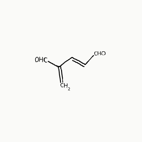 C=C(C=O)C=CC=O